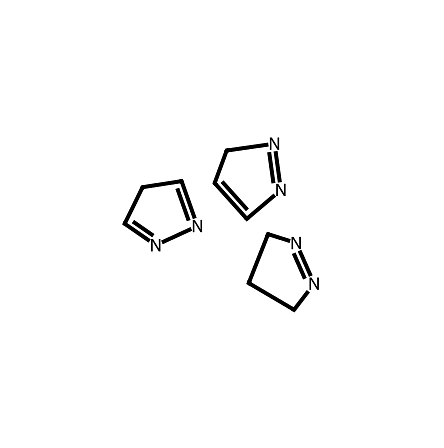 C1=CN=NC1.C1=NN=CC1.C1CN=NC1